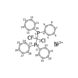 ClC(Cl)(P(c1ccccc1)c1ccccc1)P(c1ccccc1)c1ccccc1.[Ni+2]